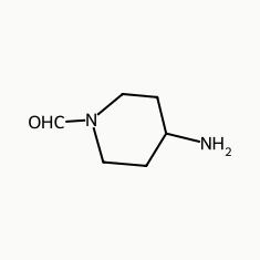 NC1CCN(C=O)CC1